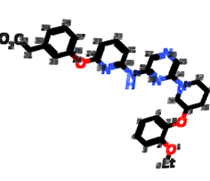 CCOc1ccccc1OC1CCCN(c2cncc(Nc3cccc(Oc4cccc(CC(=O)O)c4)n3)n2)C1